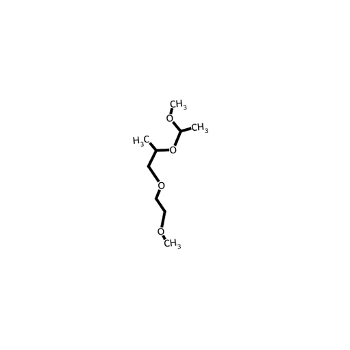 COCCOCC(C)OC(C)OC